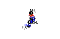 Cc1ccc(S(=O)(=O)n2ccc3c(N(C)N4CCCC(c5ncc(C(F)(F)F)[nH]5)C4)ncnc32)cc1